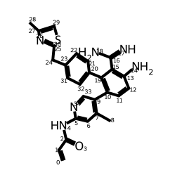 C=CC(=O)Nc1cc(C)c(-c2ccc(N)c(C(=N)N)c2-c2ccc(Cc3nc(C)cs3)cc2)cn1